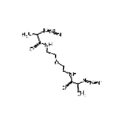 CC(N=[N+]=[N-])C(=O)NCCOCCNC(=O)C(C)N=[N+]=[N-]